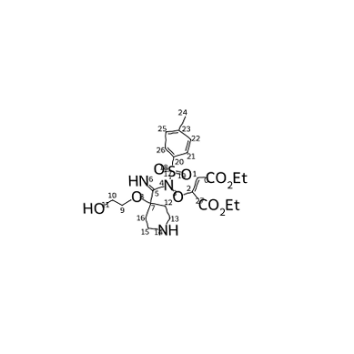 CCOC(=O)C=C(ON(C(=N)C1(OCCO)CCNCC1)S(=O)(=O)c1ccc(C)cc1)C(=O)OCC